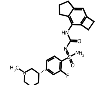 CN1CCC[C@@H](c2ccc(S(N)(=O)=NC(=O)Nc3c4c(cc5c3CC5)CCC4)c(F)c2)C1